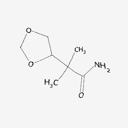 CC(C)(C(N)=O)C1COCO1